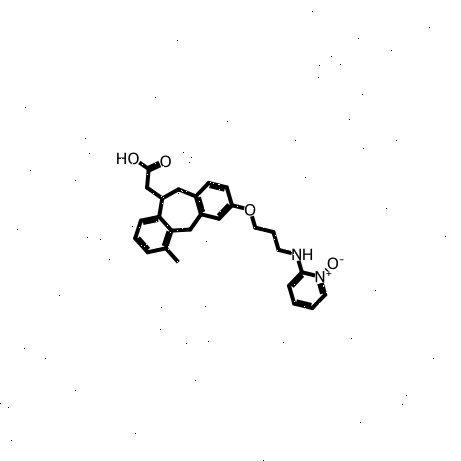 Cc1cccc2c1Cc1cc(OCCCNc3cccc[n+]3[O-])ccc1CC2CC(=O)O